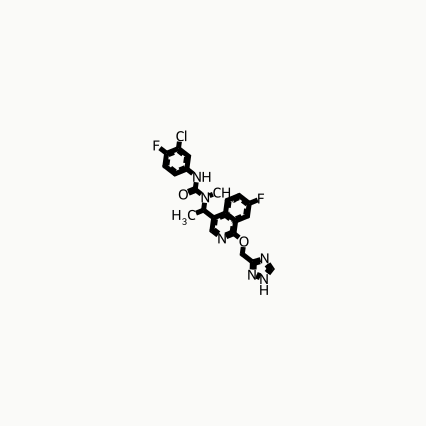 CC(c1cnc(OCc2nc[nH]n2)c2cc(F)ccc12)N(C)C(=O)Nc1ccc(F)c(Cl)c1